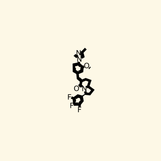 COc1cc(/C=C2\CCC3CC[C@@H](c4cc(F)c(F)c(F)c4)N3C2=O)ccc1-n1cnc(C)c1